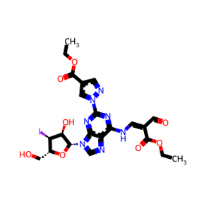 CCOC(=O)/C(C=O)=C\Nc1nc(-n2cc(C(=O)OCC)cn2)nc2c1ncn2[C@@H]1O[C@H](CO)[C@@H](I)[C@H]1O